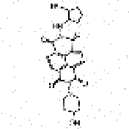 O=C1c2ccc3c4c(ccc(c24)C(=O)N1NC1CCCC1O)C(=O)N(N1CCC(O)CC1)C3=O